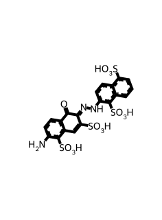 Nc1ccc2c(c1S(=O)(=O)O)C=C(S(=O)(=O)O)/C(=N\Nc1ccc3c(S(=O)(=O)O)cccc3c1S(=O)(=O)O)C2=O